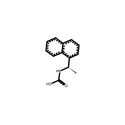 C[C@H](NC(=O)O)c1cccc2ccccc12